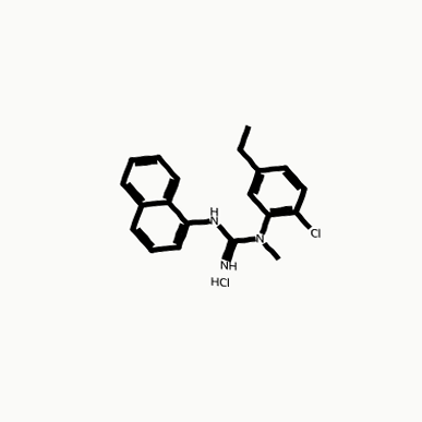 CCc1ccc(Cl)c(N(C)C(=N)Nc2cccc3ccccc23)c1.Cl